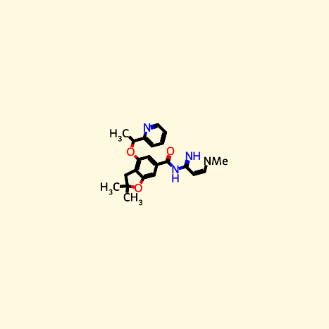 CN/C=C\C(=N)NC(=O)c1cc(OC(C)c2ccccn2)c2c(c1)OC(C)(C)C2